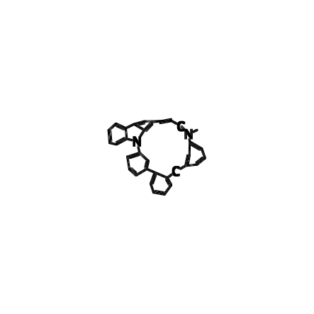 CN1Cc2ccc3c(c2)c2ccccc2n3-c2cccc(c2)-c2ccccc2Cc2cccc1c2